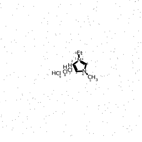 CC[n+]1ccn(C)c1.Cl.Cl.Cl